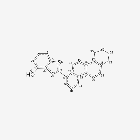 Oc1cccc2sc(-c3cccc4c3ccc3c5c(ccc34)CCCC5)cc12